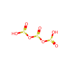 O=S(O)OS(=O)OS(=O)O